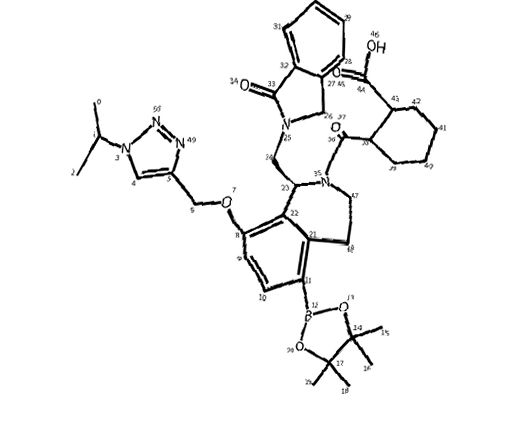 CC(C)n1cc(COc2ccc(B3OC(C)(C)C(C)(C)O3)c3c2[C@@H](CN2Cc4ccccc4C2=O)N(C(=O)C2CCCCC2C(=O)O)CC3)nn1